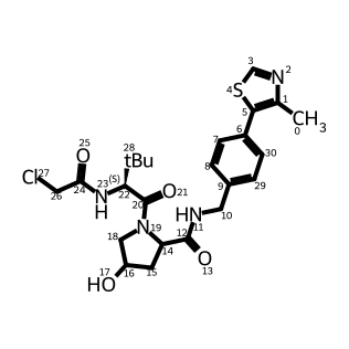 Cc1ncsc1-c1ccc(CNC(=O)C2CC(O)CN2C(=O)[C@@H](NC(=O)CCl)C(C)(C)C)cc1